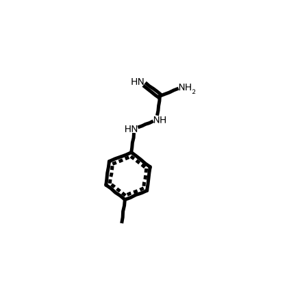 Cc1ccc(NNC(=N)N)cc1